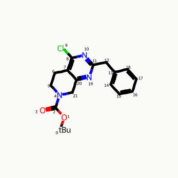 CC(C)(C)OC(=O)N1CCc2c(Cl)nc(Cc3ccccc3)nc2C1